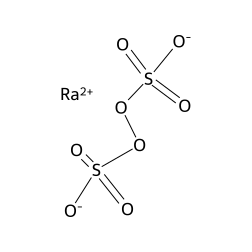 O=S(=O)([O-])OOS(=O)(=O)[O-].[Ra+2]